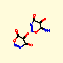 N=C1ON=NC(=O)C1=O.O=C1N=NOC(=O)C1=O